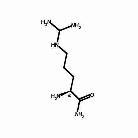 NC(=O)[C@@H](N)CCCNC(N)N